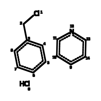 Cl.ClCc1ccccc1.c1ccncc1